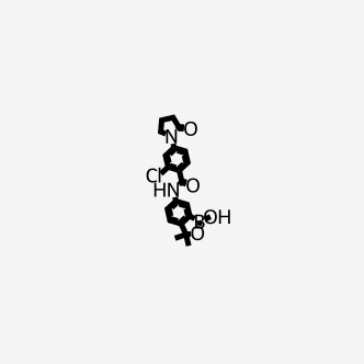 CC1(C)OB(O)c2cc(NC(=O)c3ccc(N4CCCC4=O)cc3Cl)ccc21